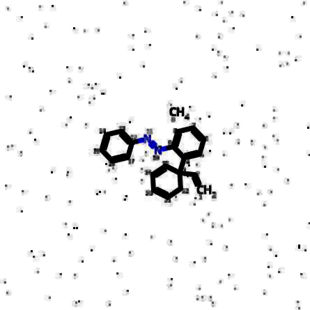 C.C=CC1(c2ccccc2N=Nc2ccccc2)C=CC=CC1